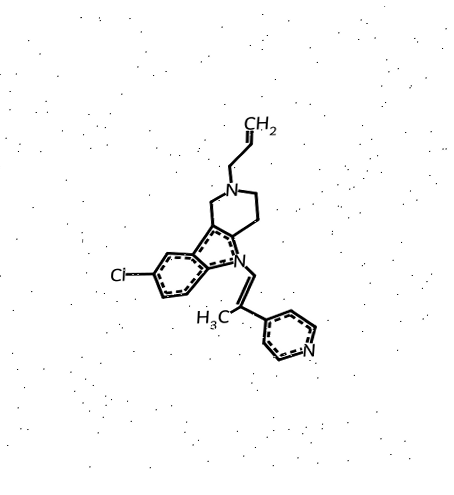 C=CCN1CCc2c(c3cc(Cl)ccc3n2C=C(C)c2ccncc2)C1